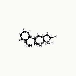 Cc1cc2cc(-c3ccccc3O)nnc2[nH]1